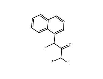 O=C(C(F)F)C(F)c1cccc2ccccc12